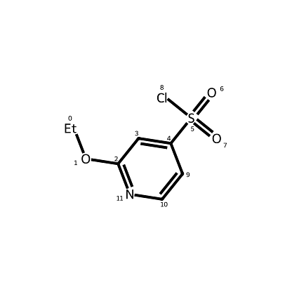 CCOc1cc(S(=O)(=O)Cl)ccn1